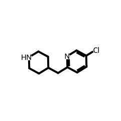 Clc1ccc(CC2CCNCC2)nc1